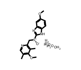 COc1ccc2[nH]c([S@@+]([O-])Cc3ncc(C)c(OC)c3C)nc2c1.O.O.O.O